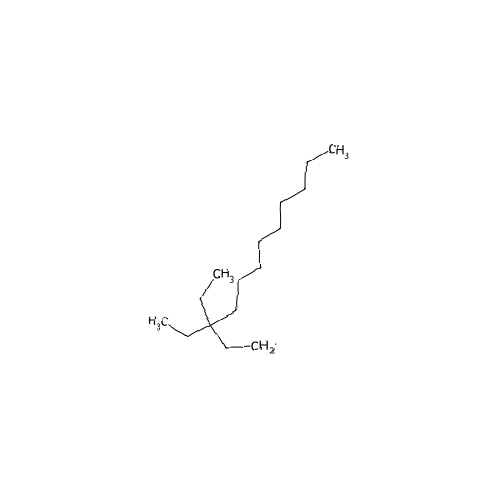 [CH2]CC(CC)(CC)CCCCCCCCC